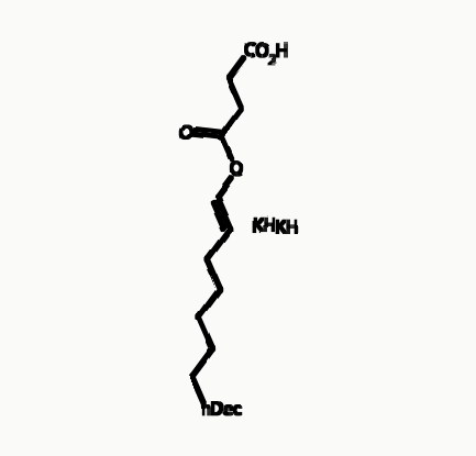 CCCCCCCCCCCCCCCC=COC(=O)CCC(=O)O.[KH].[KH]